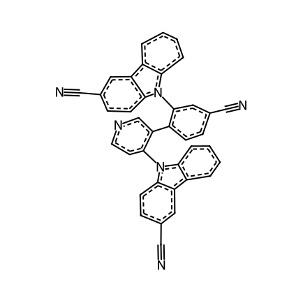 N#Cc1ccc(-c2cnccc2-n2c3ccccc3c3cc(C#N)ccc32)c(-n2c3ccccc3c3cc(C#N)ccc32)c1